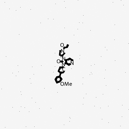 C=CC(=O)N1CC[C@@H](n2c(=O)n(-c3ccc(-c4cccc(OC)c4)cc3)c3cnccc32)C1